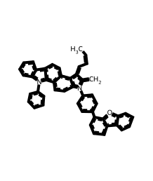 C=c1/c(=C\C=C/C)c2c3ccc4c5ccccc5n(-c5ccccc5)c4c3ccc2n1-c1ccc(-c2cccc3c2oc2ccccc23)cc1